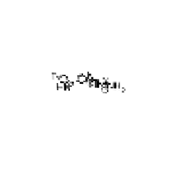 NS(=O)(=O)NCc1nc2ccc(-c3c[nH]c4cc(F)ccc34)cc2o1